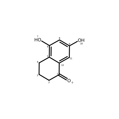 O=C1CCCc2c(O)cc(O)cc21